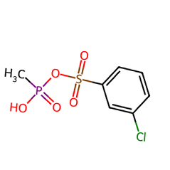 CP(=O)(O)OS(=O)(=O)c1cccc(Cl)c1